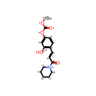 CC(C)(C)OC(=O)Oc1ccc(/C=C/C(=O)N2CCCCC2)c(O)c1